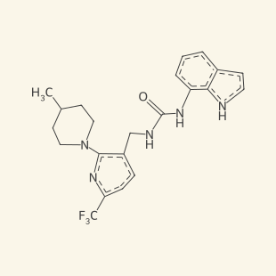 CC1CCN(c2nc(C(F)(F)F)ccc2CNC(=O)Nc2cccc3cc[nH]c23)CC1